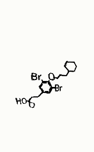 O=C(O)CCc1cc(Br)c(OCCCC2CCCCC2)c(Br)c1